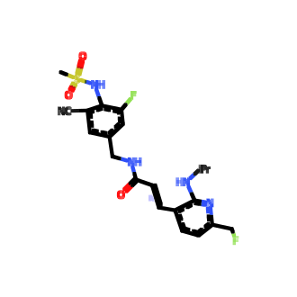 CC(C)Nc1nc(CF)ccc1/C=C/C(=O)NCc1cc(F)c(NS(C)(=O)=O)c(C#N)c1